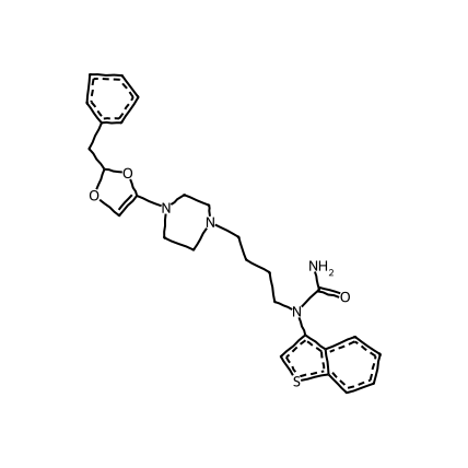 NC(=O)N(CCCCN1CCN(C2=COC(Cc3ccccc3)O2)CC1)c1csc2ccccc12